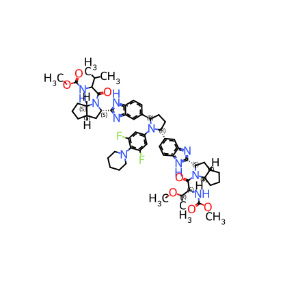 COC(=O)NC(C(=O)N1[C@H](c2nc3cc([C@H]4CC[C@H](c5ccc6[nH]c([C@@H]7C[C@@H]8CCC[C@@H]8N7C(=O)[C@@H](NC(=O)OC)[C@@H](C)OC)nc6c5)N4c4cc(F)c(N5CCCCC5)c(F)c4)ccc3[nH]2)C[C@@H]2CCC[C@@H]21)C(C)C